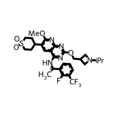 COc1nc2nc(OCC3CN(C(C)C)C3)nc(N[C@H](C)c3cccc(C(F)(F)F)c3F)c2cc1C1CCS(=O)(=O)CC1